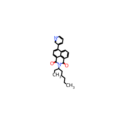 CCCCCC(CC)N1C(=O)c2cccc3c(-c4cccnc4)ccc(c23)C1=O